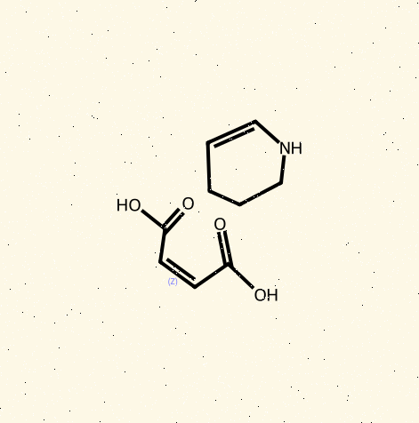 C1=CNCCC1.O=C(O)/C=C\C(=O)O